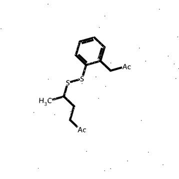 CC(=O)CCC(C)SSc1ccccc1CC(C)=O